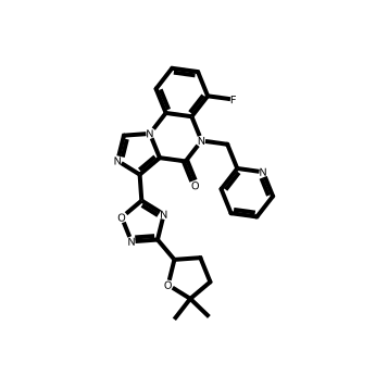 CC1(C)CCC(c2noc(-c3ncn4c3c(=O)n(Cc3ccccn3)c3c(F)cccc34)n2)O1